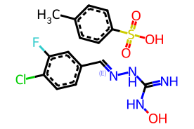 Cc1ccc(S(=O)(=O)O)cc1.N=C(NO)N/N=C/c1ccc(Cl)c(F)c1